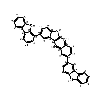 c1ccc2c(c1)oc1ccc(-c3ccc4nc5sc6ccc(-c7cccc8c7sc7ccccc78)cc6c5nc4c3)cc12